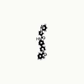 O=C(Nc1ccc(C2CCN(C(=O)c3ccccc3F)CC2)cc1)[C@H]1CCN(c2cccnn2)C1